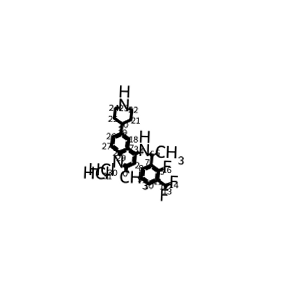 Cc1cc(N[C@H](C)c2cccc(C(F)F)c2F)c2cc(C3CCNCC3)ccc2n1.Cl.Cl